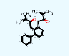 C=C(C)C(=O)Cc1cccc(-c2ccccc2)c1CC(=O)C(=C)C